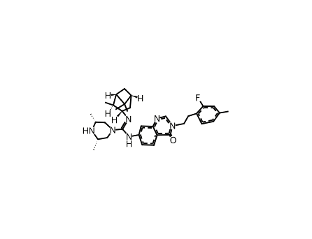 Cc1ccc(CCn2cnc3cc(NC(=N[C@H]4C[C@H]5C[C@@H]([C@@H]4C)C5(C)C)N4C[C@@H](C)N[C@@H](C)C4)ccc3c2=O)c(F)c1